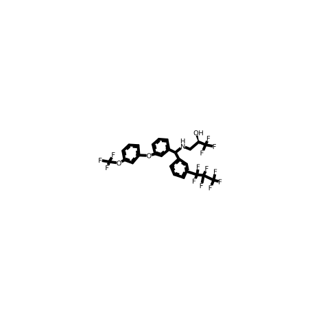 O[C@H](CNC(c1cccc(Oc2cccc(OC(F)(F)F)c2)c1)c1cccc(C(F)(F)C(F)(F)C(F)(F)F)c1)C(F)(F)F